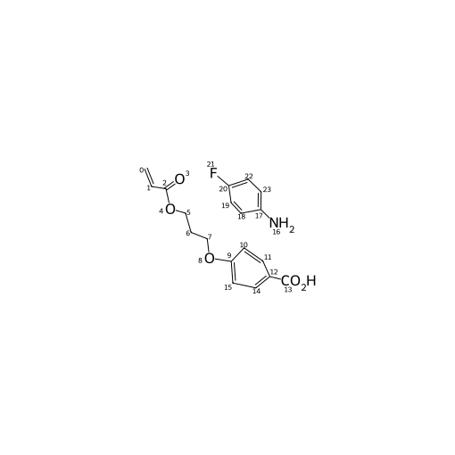 C=CC(=O)OCCCOc1ccc(C(=O)O)cc1.Nc1ccc(F)cc1